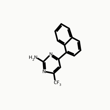 Nc1nc(-c2cccc3ccccc23)cc(C(F)(F)F)n1